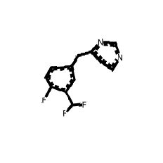 Fc1ccc([CH]c2ccncn2)cc1C(F)F